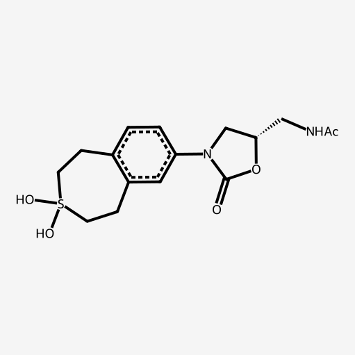 CC(=O)NC[C@H]1CN(c2ccc3c(c2)CCS(O)(O)CC3)C(=O)O1